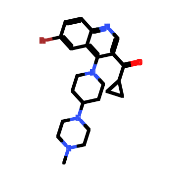 CN1CCN(C2CCN(c3c(C(=O)C4CC4)cnc4ccc(Br)cc34)CC2)CC1